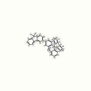 CC1(C)c2ccccc2-c2cc(-c3ccc4c(c3)Oc3ccccc3C43c4ccccc4-c4ccccc43)ccc21